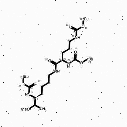 COC(C)[C@H](CCCCNC(=O)[C@@H](CCCNC(=O)OC(C)(C)C)NC(=O)OC(C)(C)C)NC(=O)OC(C)(C)C